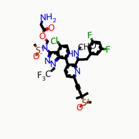 C[S+]([O-])N(COC(=O)CN)c1nn(CC(F)(F)F)c2c(-c3ccc(C#CC(C)(C)[S+](C)[O-])nc3C(Cc3cc(F)cc(F)c3)NC=O)ccc(Cl)c12